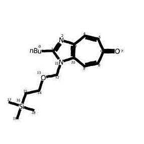 CCCCc1nc2ccc(=O)ccc2n1COCC[Si](C)(C)C